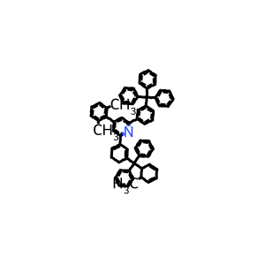 Cc1cccc(C)c1-c1cc(C2=CCCC(C(c3ccccc3)(c3ccccc3)C3C=CC=CC3C)=C2)nc(-c2cccc(C(c3ccccc3)(c3ccccc3)c3ccccc3)c2)c1